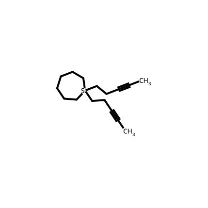 CC#CCC[Si]1(CCC#CC)CCCCCC1